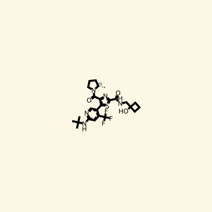 C[C@H]1CCCN1C(=O)c1nc(C(=O)NCC2(O)CCC2)sc1-c1cnc(NC(C)(C)C)cc1C(F)(F)F